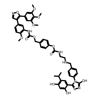 COc1ccc(-c2cnoc2-c2cc(OC)c(OC)c(OC)c2)cc1NC(=O)OCc1ccc(OC(=O)NCCNCc2ccc(-n3c(O)nnc3-c3cc(C(C)C)c(O)cc3O)cc2)cc1